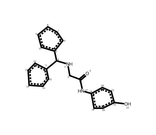 O=C(CNC(c1ccccc1)c1ccccc1)Nc1ccc(O)cc1